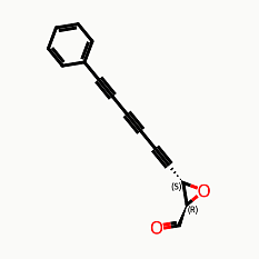 O=C[C@@H]1O[C@H]1C#CC#CC#Cc1ccccc1